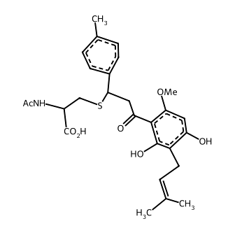 COc1cc(O)c(CC=C(C)C)c(O)c1C(=O)CC(SCC(NC(C)=O)C(=O)O)c1ccc(C)cc1